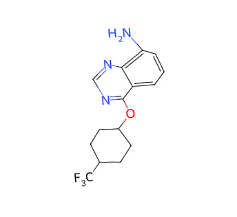 Nc1cccc2c(OC3CCC(C(F)(F)F)CC3)ncnc12